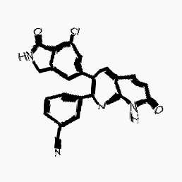 N#Cc1cccc(-c2nc3[nH]c(=O)ccc3cc2-c2cc(Cl)c3c(c2)CNC3=O)c1